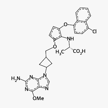 COc1nc(N)nc2c1ncn2C1CC(COp2ccc(Oc3ccc(Cl)c4ccccc34)c2N[C@@H](C)C(=O)O)C1